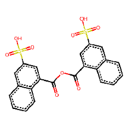 O=C(OC(=O)c1cc(S(=O)(=O)O)cc2ccccc12)c1cc(S(=O)(=O)O)cc2ccccc12